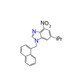 CC(C)c1cc([N+](=O)[O-])c2ncn(Cc3cccc4ccccc34)c2c1